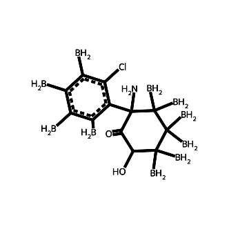 Bc1c(B)c(B)c(C2(N)C(=O)C(O)C(B)(B)C(B)(B)C2(B)B)c(Cl)c1B